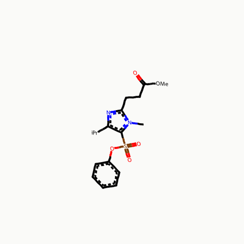 COC(=O)CCc1nc(C(C)C)c(S(=O)(=O)Oc2ccccc2)n1C